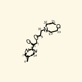 Cc1cnc(C(=O)COCCN2CCOCC2)nc1